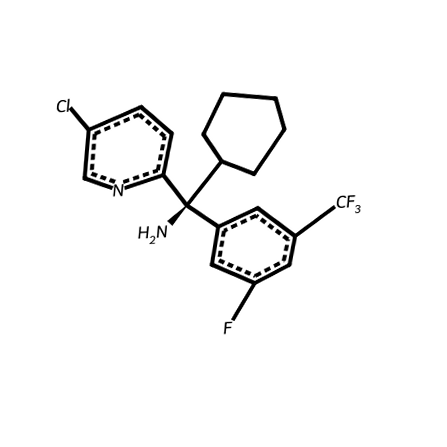 N[C@@](c1cc(F)cc(C(F)(F)F)c1)(c1ccc(Cl)cn1)C1CCCCC1